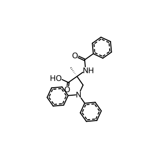 C[C@@](CN(c1ccccc1)c1ccccc1)(NC(=O)c1ccccc1)C(=O)O